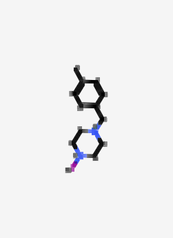 Cc1ccc(CN2CCN(I)CC2)cc1